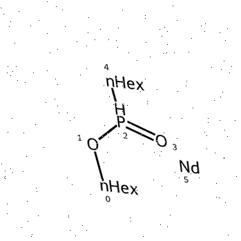 CCCCCCO[PH](=O)CCCCCC.[Nd]